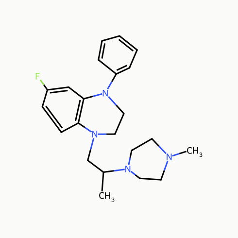 CC(CN1CCN(c2ccccc2)c2cc(F)ccc21)N1CCN(C)CC1